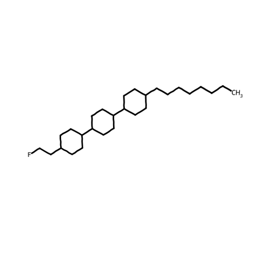 CCCCCCCCC1CCC(C2CCC(C3CCC(CCF)CC3)CC2)CC1